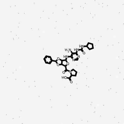 Nc1c(NC(=O)NC2CCCC2)ncnc1NC1OC(C(=O)N2CCCC2C(=O)O)C2OC(c3ccccc3)OC12